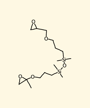 CC1(OCCC[Si](C)(C)O[Si](C)(C)CCCOCC2CO2)CO1